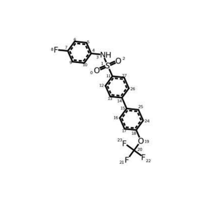 O=S(=O)(Nc1ccc(F)cc1)c1ccc(-c2ccc(OC(F)(F)F)cc2)cc1